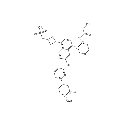 C=CC(=O)N[C@@H]1CCOC[C@@H]1c1ccc(N2CC(CS(C)(=O)=O)C2)c2cnc(Nc3ccnc(N4CC[C@@H](OC)[C@@H](F)C4)n3)cc12